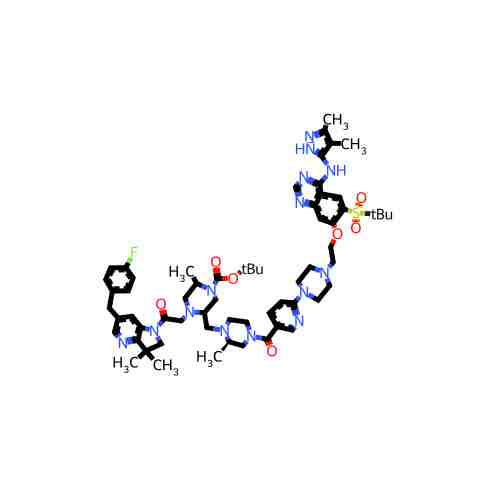 Cc1n[nH]c(Nc2ncnc3cc(OCCN4CCN(c5ccc(C(=O)N6CCN(CC7CN(C(=O)OC(C)(C)C)C(C)CN7CC(=O)N7CC(C)(C)c8ncc(Cc9ccc(F)cc9)cc87)[C@H](C)C6)cn5)CC4)c(S(=O)(=O)C(C)(C)C)cc23)c1C